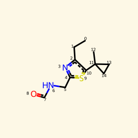 CCc1nc(CNC=O)sc1C1(C)CC1